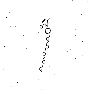 COCCOCCOCCOCCOCc1ccc(-n2cc(C)ccc2=O)cc1